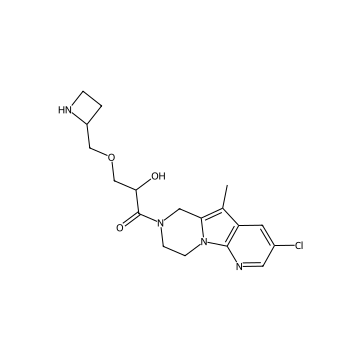 Cc1c2n(c3ncc(Cl)cc13)CCN(C(=O)C(O)COCC1CCN1)C2